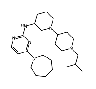 CC(C)CN1CCC(N2CCCC(Nc3nccc(N4CCCCCC4)n3)C2)CC1